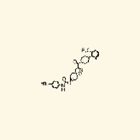 CC(C)(C)c1ccc(NC(=O)ON2CCC3(CC2)CC(C(=O)N2CCN(c4ncccc4C(F)(F)F)CC2)=NO3)cc1